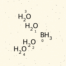 B.O.O.O.O